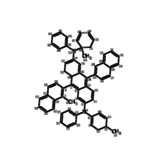 Cc1c(C2=c3cc(N(C4=CCC(C)C=C4)c4ccccc4)ccc3=C(c3ccc4ccccc4c3)C3=CC(N(c4ccccc4)C4(C)C=CC=CC4)=CCC32)ccc2ccccc12